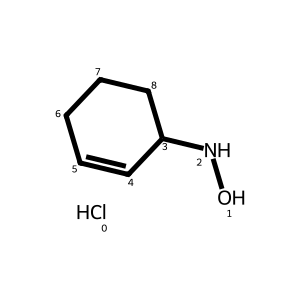 Cl.ONC1C=CCCC1